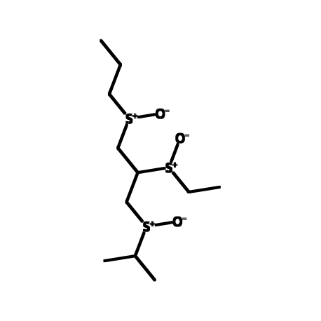 CCC[S+]([O-])CC(C[S+]([O-])C(C)C)[S+]([O-])CC